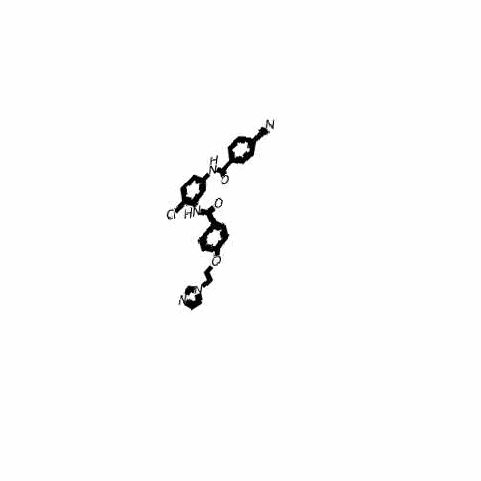 N#Cc1ccc(C(=O)Nc2ccc(Cl)c(NC(=O)c3ccc(OCCn4ccnc4)cc3)c2)cc1